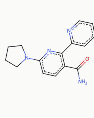 NC(=O)c1ccc(N2CCCC2)nc1-c1ccccn1